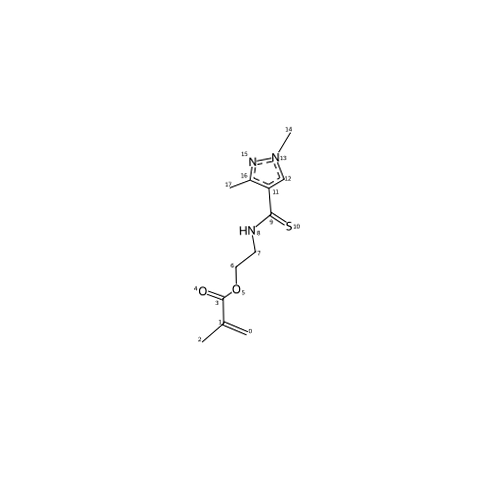 C=C(C)C(=O)OCCNC(=S)c1cn(C)nc1C